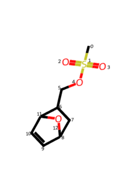 CS(=O)(=O)OCC1CC2C=CC1O2